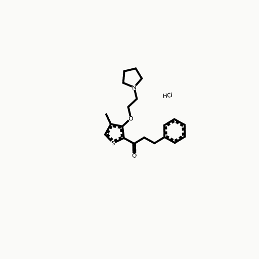 Cc1csc(C(=O)CCc2ccccc2)c1OCCN1CCCC1.Cl